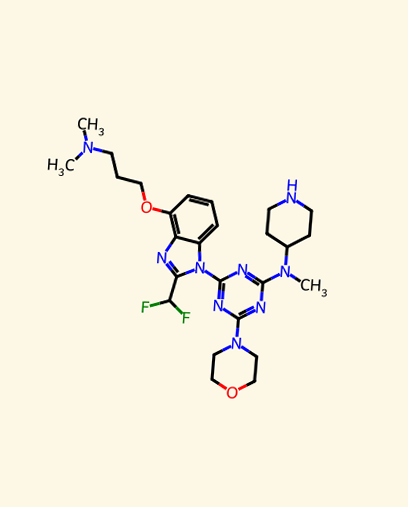 CN(C)CCCOc1cccc2c1nc(C(F)F)n2-c1nc(N2CCOCC2)nc(N(C)C2CCNCC2)n1